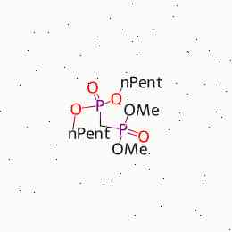 CCCCCOP(=O)(CP(=O)(OC)OC)OCCCCC